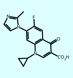 Cc1nccn1-c1cc2c(cc1F)c(=O)c(C(=O)O)cn2C1CC1